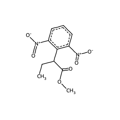 CCC(C(=O)OC)c1c([N+](=O)[O-])cccc1[N+](=O)[O-]